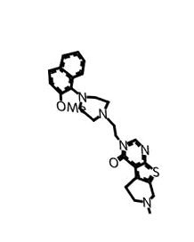 COc1ccc2ccccc2c1N1CCN(CCn2cnc3sc4c(c3c2=O)CCN(C)C4)CC1